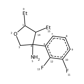 CCC1OCC(N)(c2cccc(F)c2F)C1CC